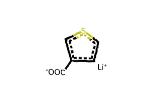 O=C([O-])c1ccsc1.[Li+]